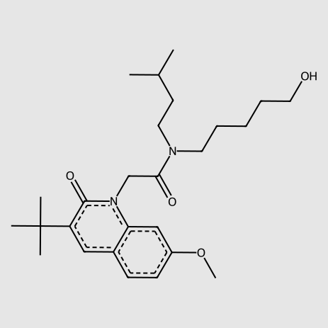 COc1ccc2cc(C(C)(C)C)c(=O)n(CC(=O)N(CCCCCO)CCC(C)C)c2c1